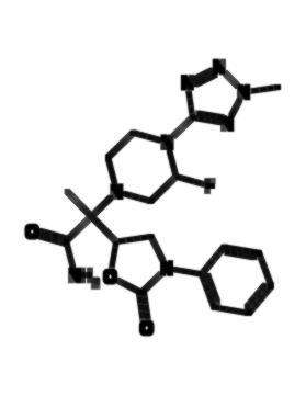 Cn1nnc(N2CCN(C(C)(C(N)=O)C3CN(c4ccccc4)C(=O)O3)CC2F)n1